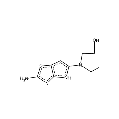 CCN(CCO)c1cc2sc(N)nc2[nH]1